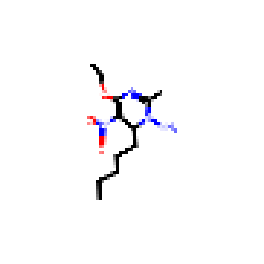 CCCCCC1C([N+](=O)[O-])=C(OCC)N=C(C)N1N